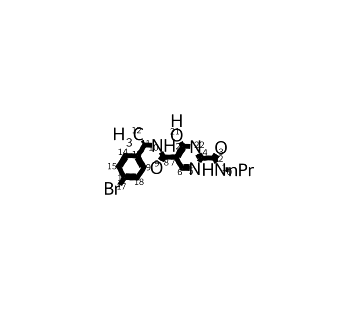 CCCNC(=O)c1ncc(C(=O)N[C@H](C)c2ccc(Br)cc2)c(O)n1